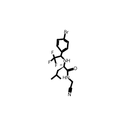 CC(C)C[C@@H](NC(c1ccc(Br)cc1)C(F)(F)F)C(=O)NCC#N